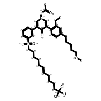 CCc1cc(CCCCCOC)ccc1-c1cn(OC(C)=O)cc(-c2cccc(S(=O)(=O)CCCCCC=CCCCCC(Cl)(Cl)Cl)c2)c1=O